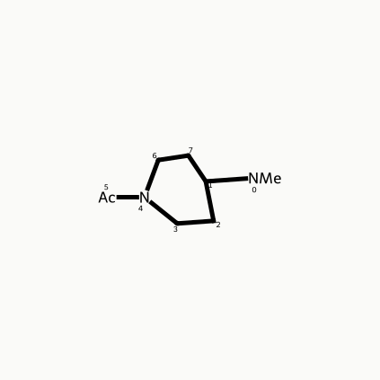 CNC1CCN(C(C)=O)CC1